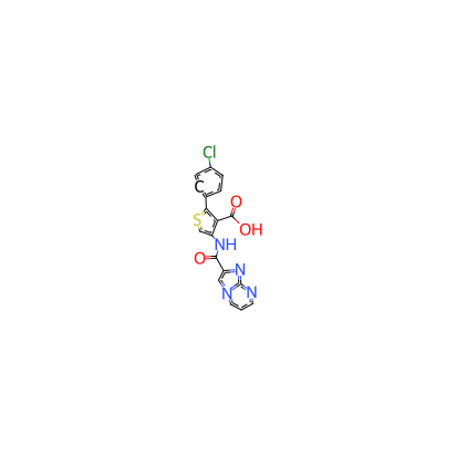 O=C(Nc1csc(-c2ccc(Cl)cc2)c1C(=O)O)c1cn2cccnc2n1